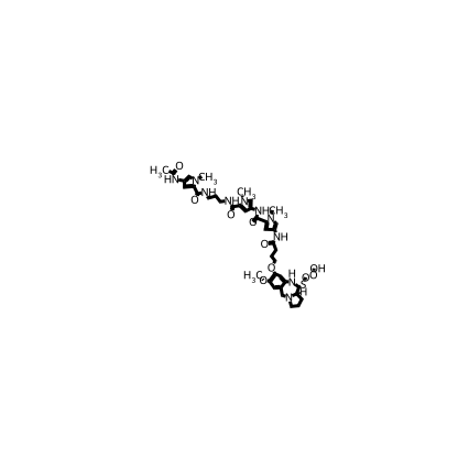 COc1cc2c(cc1OCCCC(=O)Nc1cc(C(=O)Nc3cc(C(=O)NCCCNC(=O)c4cc(NC(C)=O)cn4C)n(C)c3)n(C)c1)NC(SOOO)[C@@H]1CCCN1C2